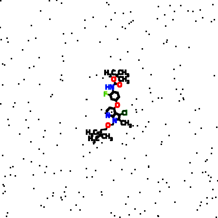 Cc1c(Cl)c2c(Oc3ccc(NC(=O)OC(C)(C)C)c(F)c3)ccnc2n1COCC[Si](C)(C)C